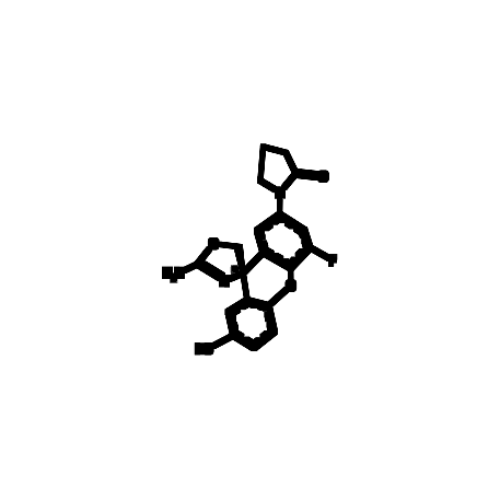 NC1=N[C@@]2(CO1)c1cc(O)ccc1Oc1c(F)cc(N3CCCC3=O)cc12